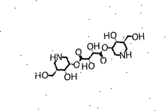 O=C(O[C@@H]1CNC[C@H](CO)[C@H]1O)[C@@H](O)[C@H](O)C(=O)O[C@@H]1CNC[C@H](CO)[C@H]1O